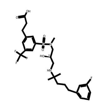 CN(C[C@H](O)CNC(C)(C)CCCc1cccc(F)c1)S(=O)(=O)c1cc(CCC(=O)O)cc(C(F)(F)F)c1